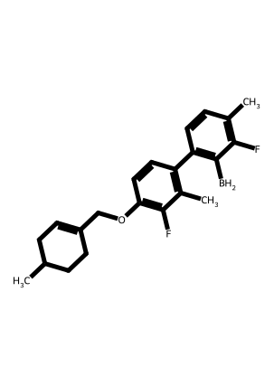 Bc1c(-c2ccc(OCC3=CCC(C)CC3)c(F)c2C)ccc(C)c1F